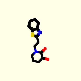 O=C1CCCN(CCc2nc3ccccc3s2)C1=O